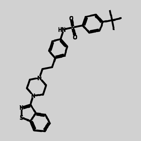 CC(C)(C)c1ccc(S(=O)(=O)Nc2ccc(CCN3CCN(c4nsc5ccccc45)CC3)cc2)cc1